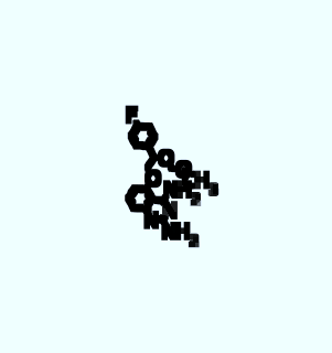 COCOC(COc1cccc2nc(N)nc(N)c12)c1ccc(F)cc1